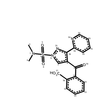 CN(C)S(=O)(=O)n1cc(C(=O)c2ccccc2C(=O)O)c(-c2ccccn2)n1